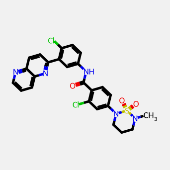 CN1CCCN(c2ccc(C(=O)Nc3ccc(Cl)c(-c4ccc5ncccc5n4)c3)c(Cl)c2)S1(=O)=O